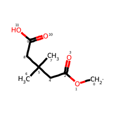 [CH2]OC(=O)CC(C)(C)CC(=O)O